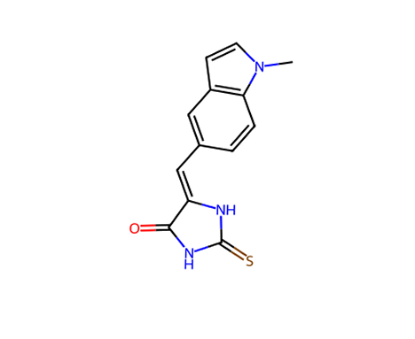 Cn1ccc2cc(/C=C3\NC(=S)NC3=O)ccc21